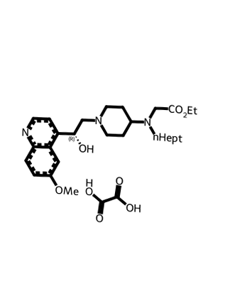 CCCCCCCN(CC(=O)OCC)C1CCN(C[C@H](O)c2ccnc3ccc(OC)cc23)CC1.O=C(O)C(=O)O